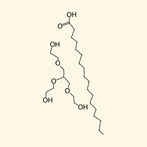 CCCCCCCCCCCCCCCCCC(=O)O.OCCOCC(COCCO)OCCO